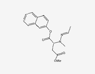 C/C=N/N(C)C(CC(=O)OC)C(=O)Oc1ccc2ccccc2c1